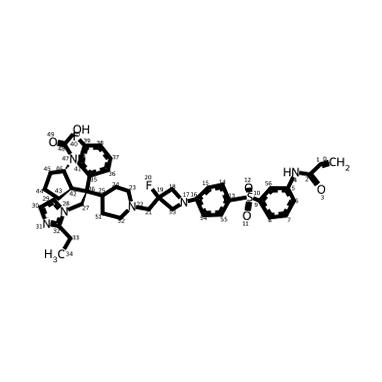 C=CC(=O)Nc1cccc(S(=O)(=O)c2ccc(N3CC(F)(CN4CCC([C@@](Cn5ccnc5CC)(c5cccc(F)c5)[C@H]5CCC[C@@H]5NC(=O)O)CC4)C3)cc2)c1